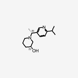 CC(C)c1ccc([C@@H](C)N2CCC[C@H](O)C2)cn1